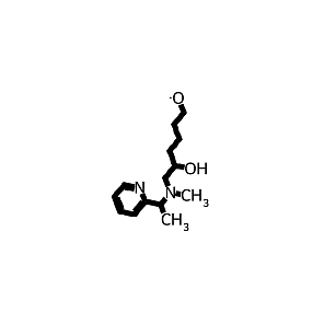 CC(c1ccccn1)N(C)CC(O)CCCC[O]